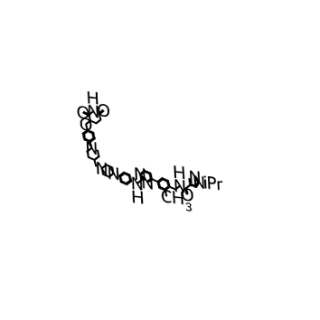 Cc1cc(-c2ccnc(Nc3ccc(N4CCN(CC5CCN(c6ccc(OC7CCC(=O)NC7=O)cc6)CC5)CC4)cc3)n2)ccc1CNC(=O)c1cnn(C(C)C)c1